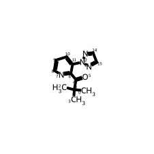 CC(C)(C)C(=O)c1ncccc1-n1nccn1